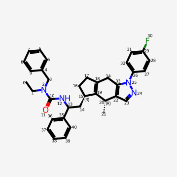 CCN(Cc1ccccc1)C(=O)NC(C[C@H]1CCC2=C1[C@@H](C)c1cnn(-c3ccc(F)cc3)c1C2)c1ccccc1